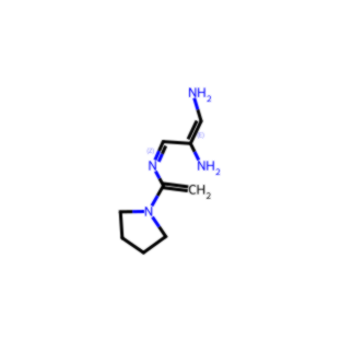 C=C(/N=C\C(N)=C/N)N1CCCC1